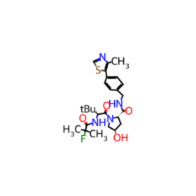 Cc1ncsc1-c1ccc(CNC(=O)[C@@H]2C[C@@H](O)CN2C(=O)[C@@H](NC(=O)C(C)(C)F)C(C)(C)C)cc1